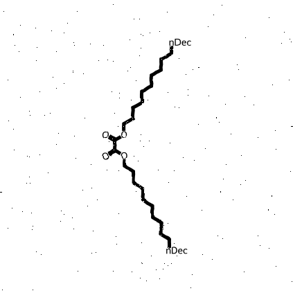 CCCCCCCCCCCCCCCCCCCCOC(=O)C(=O)OCCCCCCCCCCCCCCCCCCCC